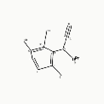 [C]#CC(CCC)c1c(C)ccc(C)c1C